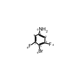 Nc1[c]c(F)c(Br)c(F)c1